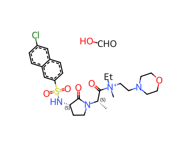 CC[N+](C)(CCN1CCOCC1)C(=O)[C@H](C)N1CC[C@H](NS(=O)(=O)c2ccc3cc(Cl)ccc3c2)C1=O.O=CO